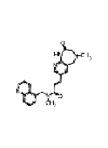 CN1CC(=O)Nc2ncc(/C=C/C(=O)N(C)Cc3cccc4ncccc34)cc2C1